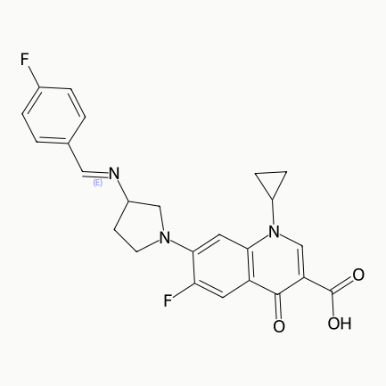 O=C(O)c1cn(C2CC2)c2cc(N3CCC(/N=C/c4ccc(F)cc4)C3)c(F)cc2c1=O